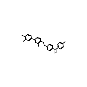 Cc1ccc(Nc2ccc(CCc3ccc(-c4ccc(C)c(C)c4)cc3C)cc2)cc1